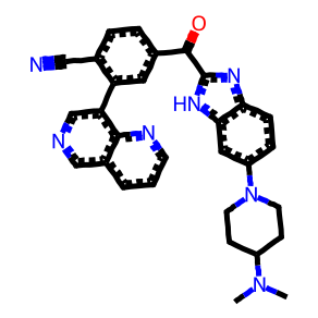 CN(C)C1CCN(c2ccc3nc(C(=O)c4ccc(C#N)c(-c5cncc6cccnc56)c4)[nH]c3c2)CC1